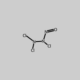 O=NN(Cl)N(Cl)Cl